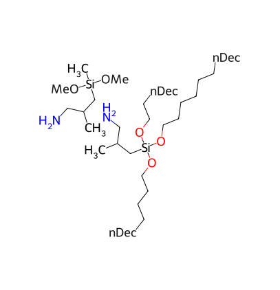 CCCCCCCCCCCCCCCCO[Si](CC(C)CN)(OCCCCCCCCCCCC)OCCCCCCCCCCCCCC.CO[Si](C)(CC(C)CN)OC